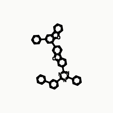 c1ccc(-c2cccc(-c3nc(-c4ccccc4)nc(-c4ccc5c(c4)oc4cc(-c6cc(-c7ccccc7)cc7c6oc6ccccc67)ccc45)n3)c2)cc1